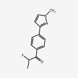 Cn1ccc(-c2ccc(C(=O)C(F)F)cc2)n1